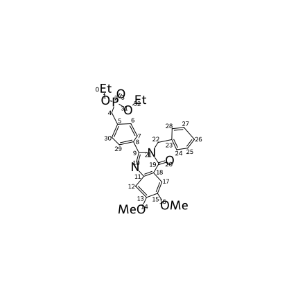 CCOP(=O)(Cc1ccc(-c2nc3cc(OC)c(OC)cc3c(=O)n2Cc2ccccc2)cc1)OCC